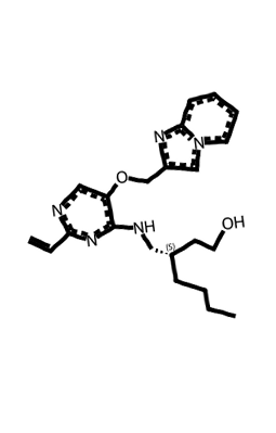 C=Cc1ncc(OCc2cn3ccccc3n2)c(NC[C@H](CCO)CCCC)n1